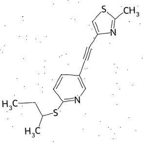 CCC(C)Sc1ccc(C#Cc2csc(C)n2)cn1